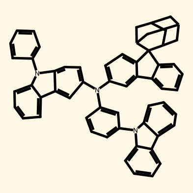 c1ccc(-n2c3ccccc3c3cc(N(c4cccc(-n5c6ccccc6c6ccccc65)c4)c4ccc5c(c4)-c4ccccc4C54C5CC6CC(C5)CC4C6)ccc32)cc1